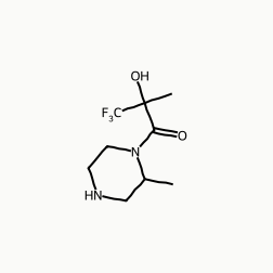 CC1CNCCN1C(=O)C(C)(O)C(F)(F)F